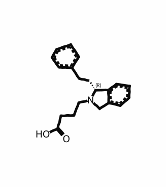 O=C(O)CCCN1Cc2ccccc2[C@H]1CCc1ccccc1